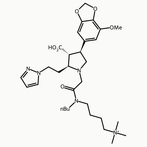 CCCCN(CCCC[N+](C)(C)C)C(=O)CN1C[C@H](c2cc(OC)c3c(c2)OCO3)[C@@H](C(=O)O)[C@@H]1CCn1cccn1